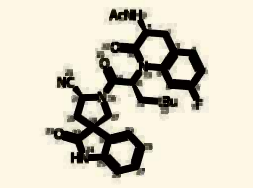 CC(=O)N[C@H]1Cc2ccc(F)cc2N([C@@H](CC(C)(C)C)C(=O)N2C[C@]3(C[C@H]2C#N)C(=O)Nc2ccccc23)C1=O